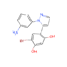 Nc1cccc(-n2nccc2-c2cc(Br)c(O)cc2O)c1